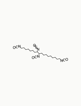 O=C=NCCCCCCCCCC(N=C=O)C(CCCCCCCN=C=O)N=C=O